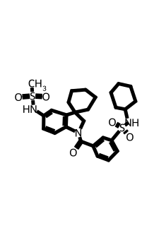 CS(=O)(=O)Nc1ccc2c(c1)C1(CCCCC1)CN2C(=O)c1cccc(S(=O)(=O)NC2CCCCC2)c1